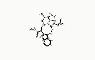 CCCC(C[C@@H]1CC(C(=O)OC)c2[nH]c3ccccc3c2CCN(CC=C(C)C)C1)C1OCCO1